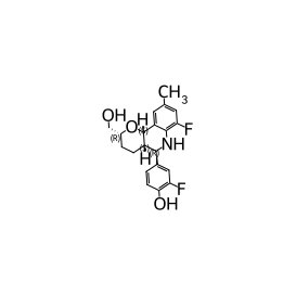 Cc1cc(F)c2c(c1)[C@H]1O[C@@H](CO)CC[C@H]1[C@H](c1ccc(O)c(F)c1)N2